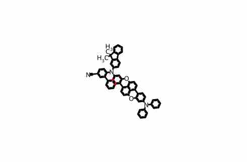 CC1(C)c2ccccc2-c2ccc(N(c3ccc4c(c3)Oc3ccc5c6c(ccc-4c36)Oc3cc(N(c4ccccc4)c4ccccc4)ccc3-5)c3ccc(C#N)cc3-c3ccccc3)cc21